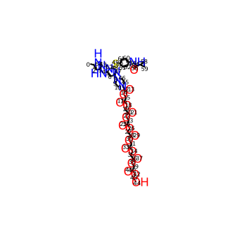 Cc1cc(Nc2cc(N3CCN(C(=O)OCC(=O)OCC(=O)OCC(=O)OCC(=O)OCC(=O)OCC(=O)OCC(=O)OCO)CC3)nc(Sc3ccc(NC(=O)C4CC4)cc3)n2)n[nH]1